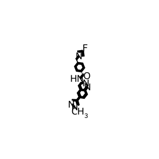 Cn1cc(-c2ccc3nnc(NC(=O)[C@H]4CC[C@H](CN5CC(F)C5)CC4)cc3c2)cn1